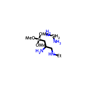 CCNCC(N)C[Si](OC)(OC)OC.N[SiH2]N